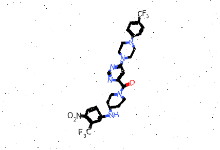 O=C(c1cc(N2CCN(c3ccc(C(F)(F)F)cc3)CC2)ncn1)N1CCC(Nc2ccc([N+](=O)[O-])c(C(F)(F)F)c2)CC1